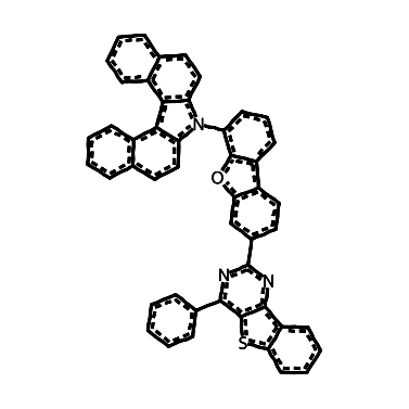 c1ccc(-c2nc(-c3ccc4c(c3)oc3c(-n5c6ccc7ccccc7c6c6c7ccccc7ccc65)cccc34)nc3c2sc2ccccc23)cc1